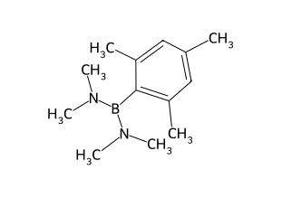 Cc1cc(C)c(B(N(C)C)N(C)C)c(C)c1